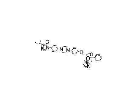 CCC(C)n1ncn(-c2ccc(N3CCN(c4ccc(OC[C@@H]5CO[C@](Cn6nccn6)(c6ccccc6)O5)cc4)CC3)cc2)c1=O